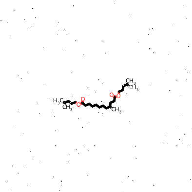 CC(C)CCCOC(=O)CCCCCCCC(C)CCC(=O)OCCCC(C)C